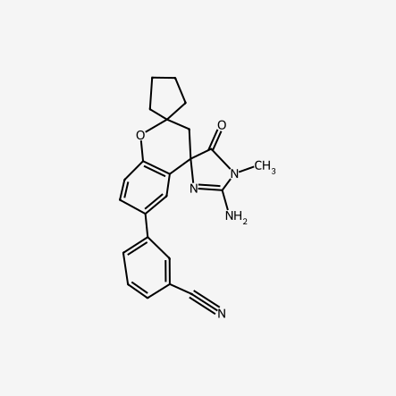 CN1C(=O)C2(CC3(CCCC3)Oc3ccc(-c4cccc(C#N)c4)cc32)N=C1N